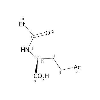 CCC(=O)N[C@@H](CCC(C)=O)C(=O)O